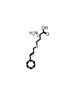 N[C@@H](CCSC/C=C/c1ccccc1)C(=O)O